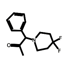 CC(=O)C(c1ccccc1)N1CCC(F)(F)CC1